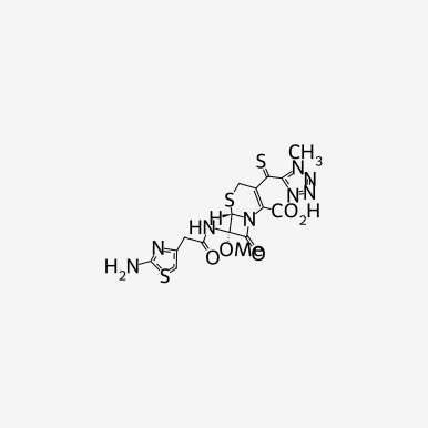 CO[C@@]1(NC(=O)Cc2csc(N)n2)C(=O)N2C(C(=O)O)=C(C(=S)c3nnnn3C)CS[C@H]21